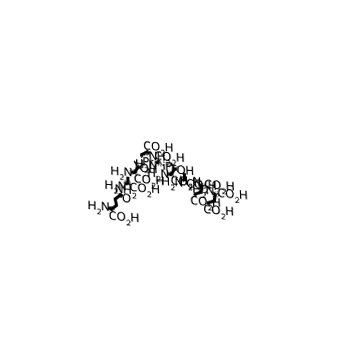 CC(C)C[C@H](N)C(=O)O.CC(C)[C@H](N)C(=O)O.C[C@@H](O)[C@H](N)C(=O)O.C[C@@H](O)[C@H](N)C(=O)O.C[C@H](N)C(=O)O.C[C@H](N)C(=O)O.NC(=O)CC[C@H](N)C(=O)O.N[C@@H](CCC(=O)O)C(=O)O.N[C@@H](CCC(=O)O)C(=O)O